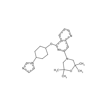 CC1(C)CN(c2cc3ncccc3c(OC3CCC(n4ccnc4)CC3)n2)CC(C)(C)O1